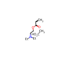 C=CC(=O)OCCN(CC)CC.CC(=O)O